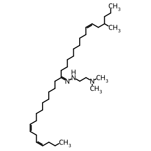 CCC/C=C\C/C=C\CCCCCCCCC(CCCCCCCC/C=C\CC(C)CCC)=NNCCN(C)C